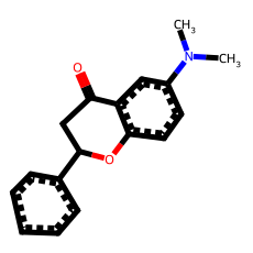 CN(C)c1ccc2c(c1)C(=O)CC(c1ccccc1)O2